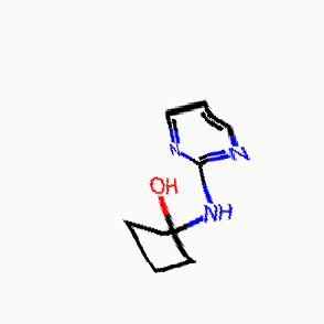 OC1(Nc2ncccn2)CCC1